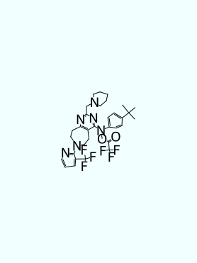 CC(C)(C)c1ccc(N(OC(=O)C(F)(F)F)c2nc(CN3CCCCC3)nc3c2CCN(c2ncccc2C(F)(F)F)CC3)cc1